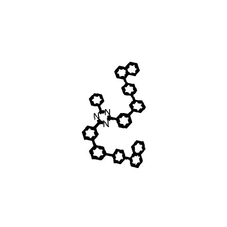 c1ccc(-c2nc(-c3cccc(-c4cccc(-c5ccc(-c6cccc7ccccc67)cc5)c4)c3)nc(-c3cccc(-c4cccc(-c5ccc(-c6cccc7ccccc67)cc5)c4)c3)n2)cc1